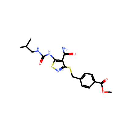 COC(=O)c1ccc(CSc2nsc(NC(=O)NCC(C)C)c2C(N)=O)cc1